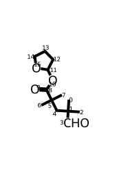 CC(C)(C=O)CC(C)(C)C(=O)OC1CCCO1